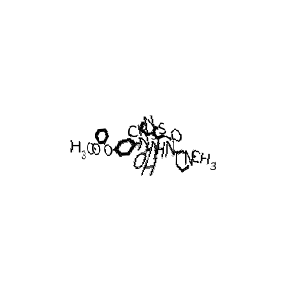 COc1ccccc1Oc1ccc(N2C(=O)Nc3c(C(=O)NC4CCCN(C)C4)sc4nccc2c34)c(C)c1